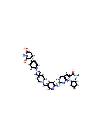 CN(C)C(=O)c1cc2cnc(Nc3ccc(CN4CCC5(CC4)CN(c4ccc([C@@H]6CCC(=O)NC6=O)cc4)C5)cn3)nc2n1C1CCCC1